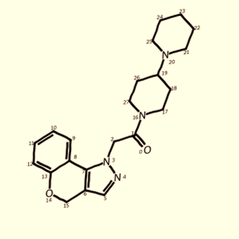 O=C(Cn1ncc2c1-c1ccccc1OC2)N1CCC(N2CCCCC2)CC1